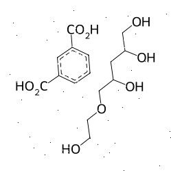 O=C(O)c1cccc(C(=O)O)c1.OCCOCC(O)CC(O)CO